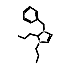 CCCC1N(CCC)C=CN1Cc1ccccc1